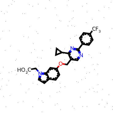 O=C(O)Cn1ccc2ccc(OCc3cnc(-c4ccc(C(F)(F)F)cc4)nc3C3CC3)cc21